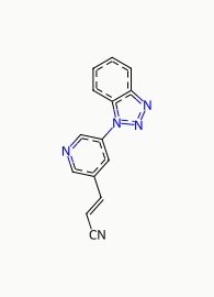 N#C/C=C/c1cncc(-n2nnc3ccccc32)c1